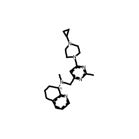 Cc1nc(CN(C)[C@H]2CCCc3cccnc32)cc(N2CCN(C3CC3)CC2)n1